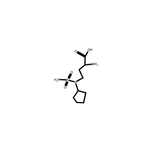 NC(CCN(C1CCCC1)S(N)(=O)=O)C(=O)O